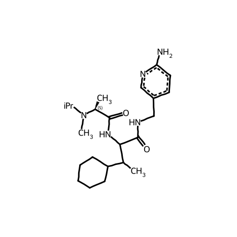 CC(C1CCCCC1)C(NC(=O)[C@H](C)N(C)C(C)C)C(=O)NCc1ccc(N)nc1